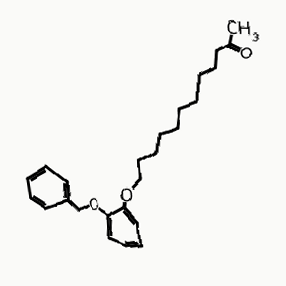 CC(=O)CCCCCCCCCCOc1ccccc1OCc1ccccc1